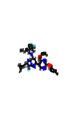 COc1ncc(-c2cc(N3CC(C)(C)C(F)(F)C3)c3nc(C4CC4)c(F)n3n2)c(OC)n1